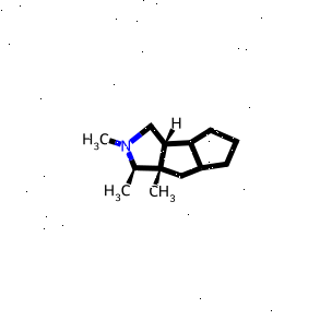 C[C@H]1N(C)C[C@@H]2C3CCCC3C[C@@]21C